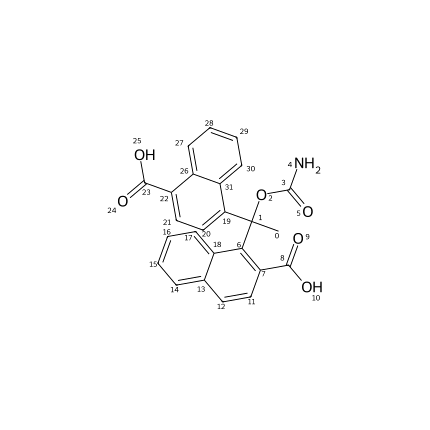 CC(OC(N)=O)(c1c(C(=O)O)ccc2ccccc12)c1ccc(C(=O)O)c2ccccc12